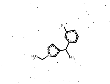 CCn1cc(C(N)c2cccc(Br)c2)cn1